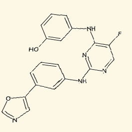 Oc1cccc(Nc2nc(Nc3cccc(-c4cnco4)c3)ncc2F)c1